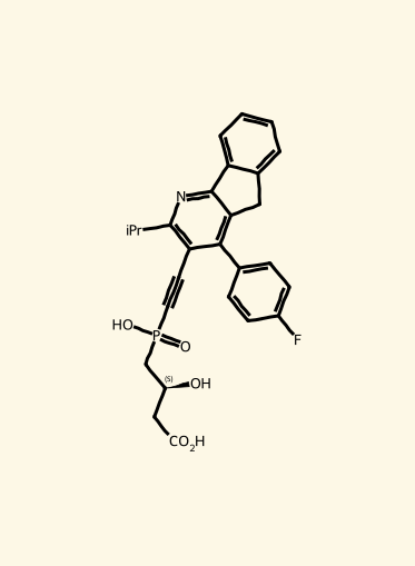 CC(C)c1nc2c(c(-c3ccc(F)cc3)c1C#CP(=O)(O)C[C@@H](O)CC(=O)O)Cc1ccccc1-2